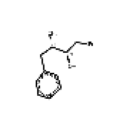 CC(C)C[C@@H](O)[C@@H](C)Cc1ccccc1